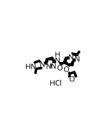 Cc1cn2cc(C(=O)Nc3ccc(N4CCNC(C)C4)nn3)c(OC3CCOC3)cc2n1.Cl